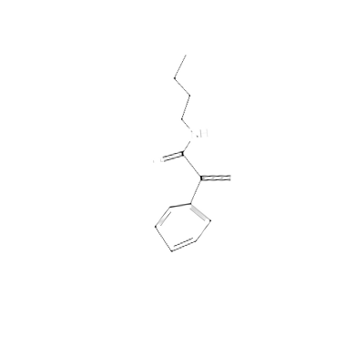 [CH2]CCCNC(=O)C(=C)c1ccccc1